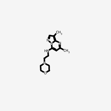 Cc1cc(NCCN2CCOCC2)n2ncc(C)c2n1